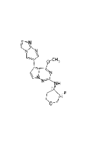 COc1nc(N[C@@H]2CCOC[C@H]2F)nn2ccc(-c3cnc4nccn4c3)c12